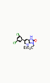 CCOC(=O)Cn1c2c([nH]c1=O)C=C(c1cc(Cl)cc(Cl)c1)CN2C